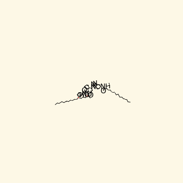 CCCCCCCCCCCCCCCCC(C)OC1C=C(n2nnc3cc(NC(=O)CCCCCCCCCCCCC)ccc32)c2ccccc2C1(O)C(=O)Nc1ccccc1